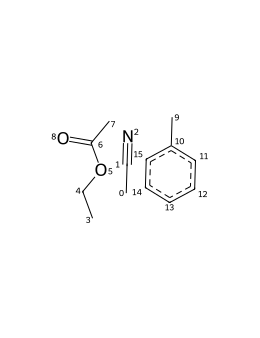 CC#N.CCOC(C)=O.Cc1ccccc1